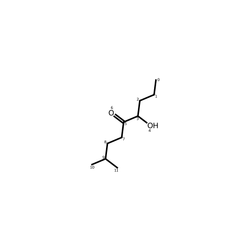 CCCC(O)C(=O)CCC(C)C